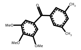 COc1cc(C(=O)c2cc(C)cc(C)c2)cc(OC)c1OC